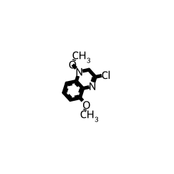 COc1cccc2c1N=C(Cl)CN2OC